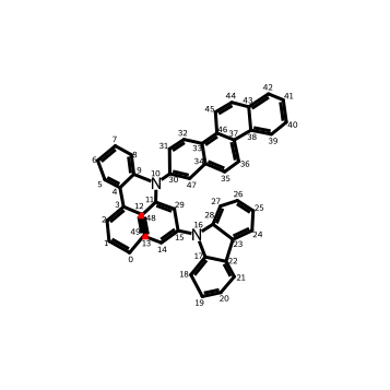 c1ccc(-c2ccccc2N(c2cccc(-n3c4ccccc4c4ccccc43)c2)c2ccc3c(ccc4c5ccccc5ccc34)c2)cc1